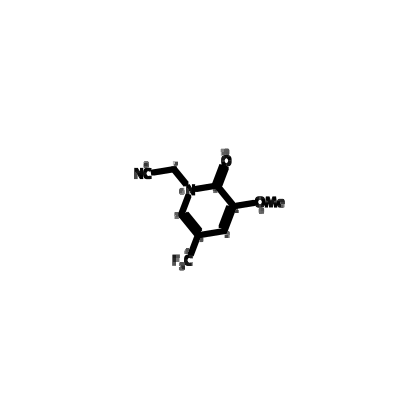 COc1cc(C(F)(F)F)cn(CC#N)c1=O